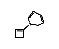 C1=CCN(C2=CCC2)C=C1